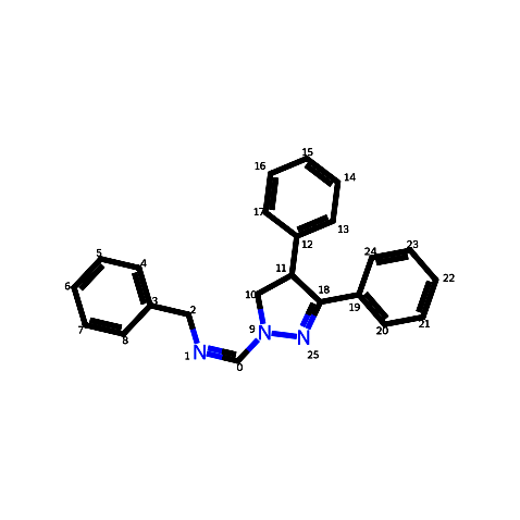 C(=N/Cc1ccccc1)/N1CC(c2ccccc2)C(c2ccccc2)=N1